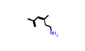 C=C(C)/C=C(/C)CCN